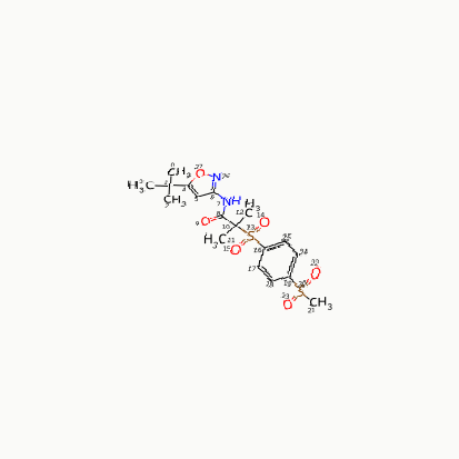 CC(C)(C)c1cc(NC(=O)C(C)(C)S(=O)(=O)c2ccc(S(C)(=O)=O)cc2)no1